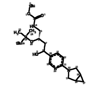 CC(C)(C)OC(=O)NC[C@H](CC(O)c1ccc(N2CC3CC3C2)nc1)O[Si](C)(C)C(C)(C)C